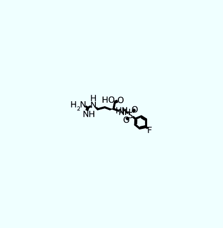 N=C(N)NCCC[C@H](NNS(=O)(=O)c1ccc(F)cc1)C(=O)O